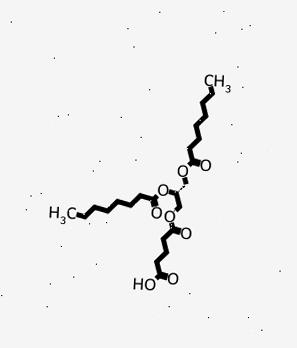 CCCCCCCC(=O)OC[C@H](COC(=O)CCCC(=O)O)OC(=O)CCCCCCC